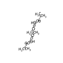 CCC(C)CCC(=O)OCC(O)COc1ccc(C(C)(C)c2ccc(OCC(O)COC(=O)CCC(C)C)cc2)cc1